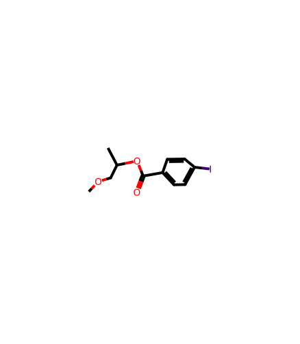 COCC(C)OC(=O)c1ccc(I)cc1